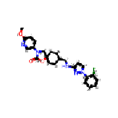 COc1ccc(N2CC3(CCC(CNc4ccn(-c5ccccc5F)n4)CC3)OC2=O)cn1